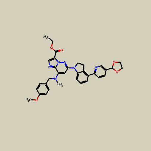 CCOC(=O)c1cnc2c(N(C)Cc3ccc(OC)cc3)cc(N3CCc4c(-c5ccc(C6OCCO6)cn5)cccc43)nn12